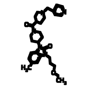 CCOCCCn1c(=O)n(C2CCN(C(=O)C3CCN(Cc4ccncc4)CC3)CC2)c2ccc(C)cc21